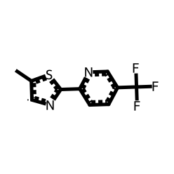 Cc1[c]nc(-c2ccc(C(F)(F)F)cn2)s1